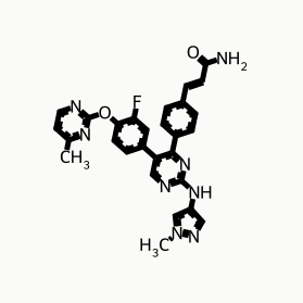 Cc1ccnc(Oc2ccc(-c3cnc(Nc4cnn(C)c4)nc3-c3ccc(C=CC(N)=O)cc3)cc2F)n1